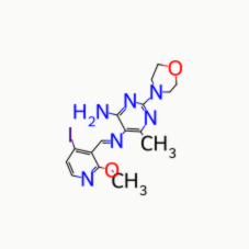 COc1nccc(I)c1/C=N/c1c(C)nc(N2CCOCC2)nc1N